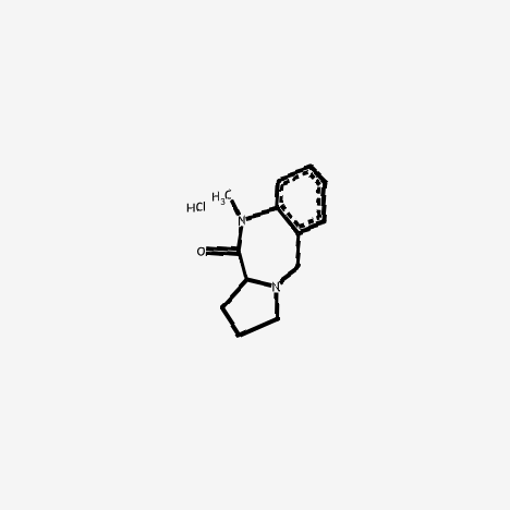 CN1C(=O)C2CCCN2Cc2ccccc21.Cl